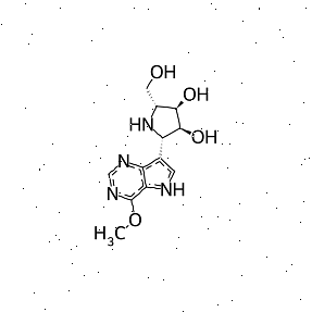 COc1ncnc2c([C@@H]3N[C@H](CO)[C@@H](O)[C@H]3O)c[nH]c12